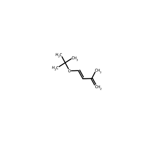 C=C(C)C=COC(C)(C)C